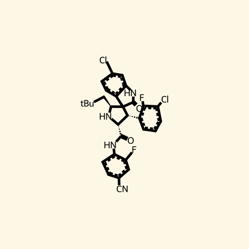 CC(C)(C)C[C@@H]1N[C@@H](C(=O)Nc2ccc(C#N)cc2F)[C@@H](c2cccc(Cl)c2F)C12C(=O)Nc1cc(Cl)ccc12